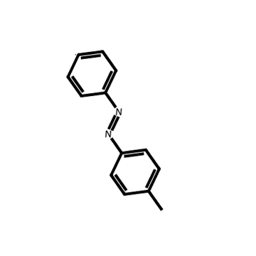 Cc1ccc(N=Nc2cc[c]cc2)cc1